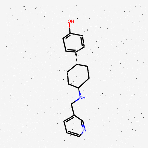 Oc1ccc([C@H]2CC[C@H](NCc3cccnc3)CC2)cc1